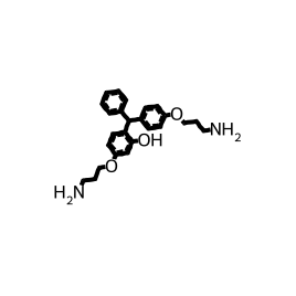 NCCCOc1ccc(C(c2ccccc2)c2ccc(OCCCN)cc2O)cc1